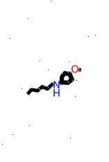 CCCCCCNc1ccc(OC)cc1